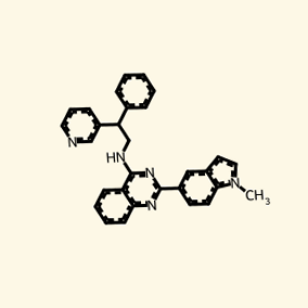 Cn1ccc2cc(-c3nc(NCC(c4ccccc4)c4cccnc4)c4ccccc4n3)ccc21